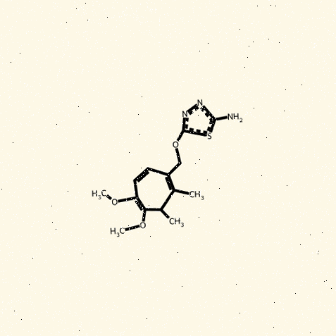 COC1=C(OC)C(C)C(C)=C(COc2nnc(N)s2)C=C1